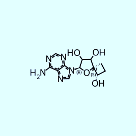 Nc1ncnc2c1ncn2[C@@H]1O[C@@]2(CC[C@@H]2O)C(O)C1O